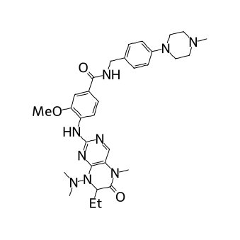 CCC1C(=O)N(C)c2cnc(Nc3ccc(C(=O)NCc4ccc(N5CCN(C)CC5)cc4)cc3OC)nc2N1N(C)C